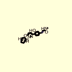 CNC(=O)/C=C/c1ccc(-c2ccc(OC3C[C@H]4CC[C@@H](C3)N4)nn2)c(O)c1